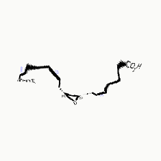 CCCCC/C=C\C/C=C\C[C@H]1O[C@H]1C/C=C\CCCC(=O)O